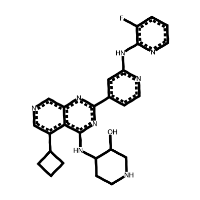 OC1CNCCC1Nc1nc(-c2ccnc(Nc3ncccc3F)c2)nc2cncc(C3CCC3)c12